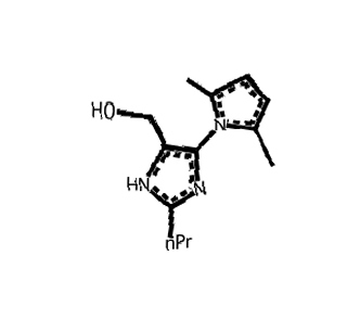 CCCc1nc(-n2c(C)ccc2C)c(CO)[nH]1